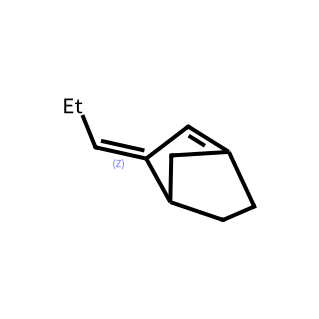 CC/C=C1\C=C2CCC1C2